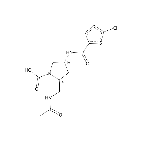 CC(=O)NC[C@@H]1C[C@@H](NC(=O)c2ccc(Cl)s2)CN1C(=O)O